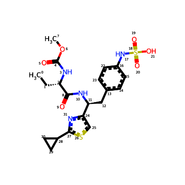 CC[C@H](NC(=O)OC)C(=O)N[C@@H](Cc1ccc(NS(=O)(=O)O)cc1)c1csc(C2CC2)n1